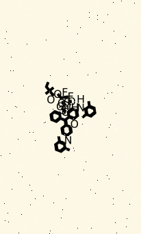 CCC(C)(C)C(=O)OCC(F)(F)S(=O)(=O)NS(=O)(=O)c1ccccc1-c1c2cc/c(=N\c3c(C)cccc3C)cc-2oc2cc(Nc3c(C)cccc3C)ccc12